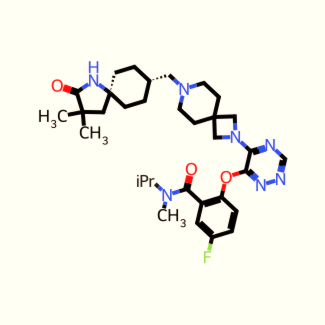 CC(C)N(C)C(=O)c1cc(F)ccc1Oc1nncnc1N1CC2(CCN(C[C@H]3CC[C@]4(CC3)CC(C)(C)C(=O)N4)CC2)C1